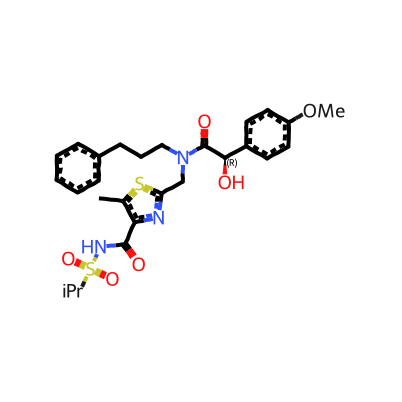 COc1ccc([C@@H](O)C(=O)N(CCCc2ccccc2)Cc2nc(C(=O)NS(=O)(=O)C(C)C)c(C)s2)cc1